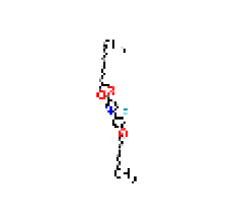 CCCCCCCCOc1ccc(-c2ccc(C3OCC(CCCCCCCC)CO3)cn2)c(F)c1